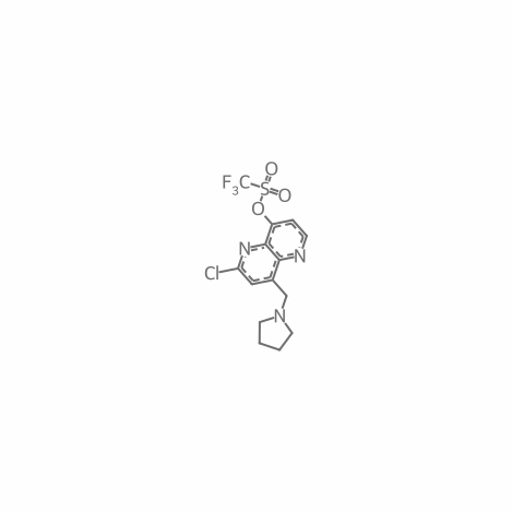 O=S(=O)(Oc1ccnc2c(CN3CCCC3)cc(Cl)nc12)C(F)(F)F